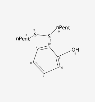 CCCCCSSCCCCC.Oc1ccccc1